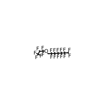 FC(C(F)(F)F)C(F)(F)OCC(F)(F)C(F)(F)C(F)(F)C(F)(F)C(F)(F)C(F)F